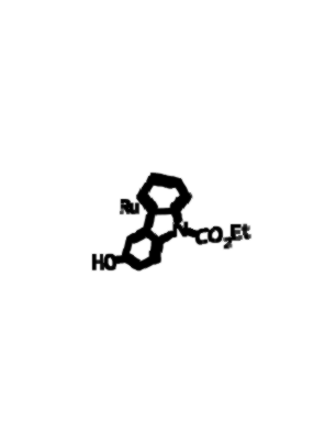 CCOC(=O)n1c2ccccc2c2cc(O)ccc21.[Ru]